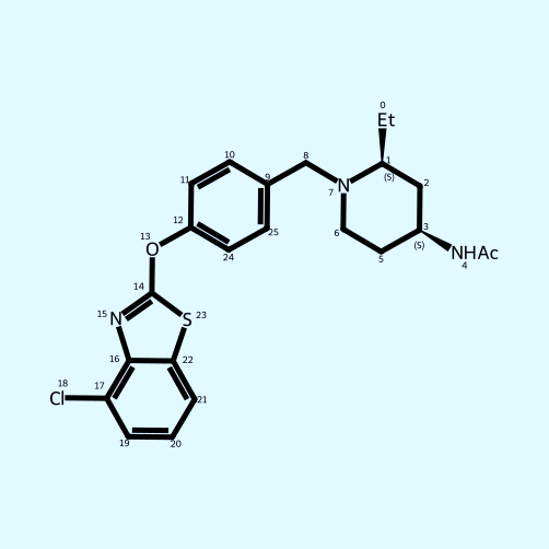 CC[C@H]1C[C@@H](NC(C)=O)CCN1Cc1ccc(Oc2nc3c(Cl)cccc3s2)cc1